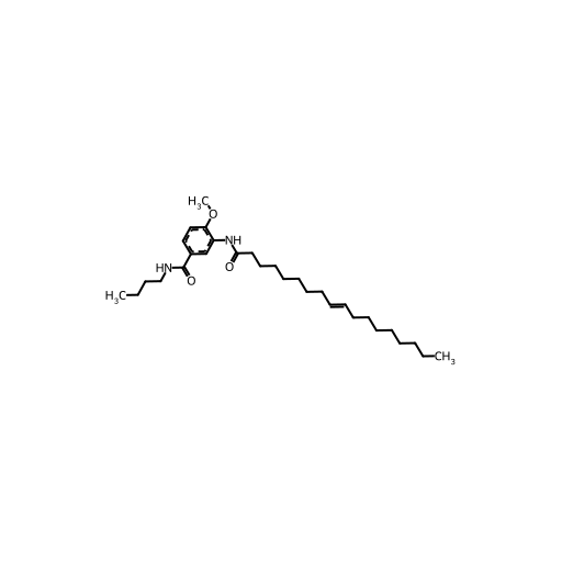 CCCCCCCCC=CCCCCCCCC(=O)Nc1cc(C(=O)NCCCC)ccc1OC